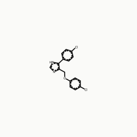 Clc1ccc(OCc2nc[nH]c2-c2ccc(Cl)cc2)cc1